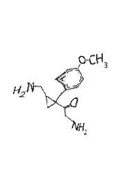 COc1ccc(C2(C(=O)CN)CC2CN)cc1